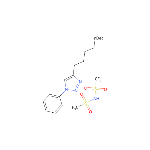 CCCCCCCCCCCCCCc1cn(-c2ccccc2)nn1.O=S(=O)(NS(=O)(=O)C(F)(F)F)C(F)(F)F